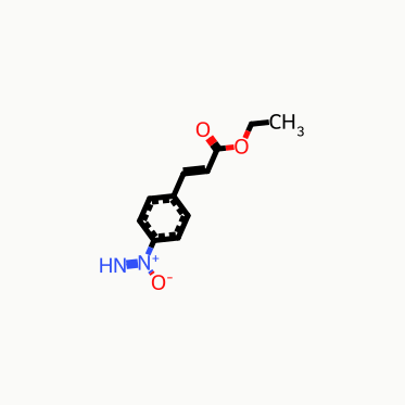 CCOC(=O)/C=C/c1ccc([N+](=N)[O-])cc1